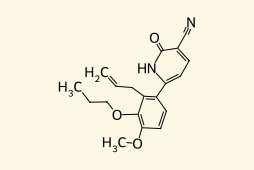 C=CCc1c(-c2ccc(C#N)c(=O)[nH]2)ccc(OC)c1OCCC